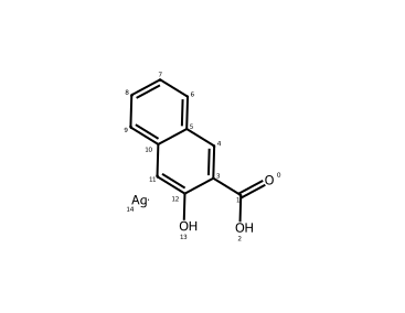 O=C(O)c1cc2ccccc2cc1O.[Ag]